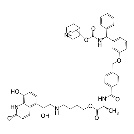 C[C@H](NC(=O)c1ccc(COc2cccc([C@@H](NC(=O)OC3CN4CCC3CC4)c3ccccc3)c2)cc1)C(=O)OCCCCNC[C@H](O)c1ccc(O)c2[nH]c(=O)ccc12